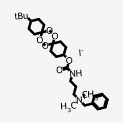 CC(C)(C)C1CCC2(CC1)OOC1(CCC(OC(=O)NCCC[N+](C)(C)Cc3ccccc3)CC1)OO2.[I-]